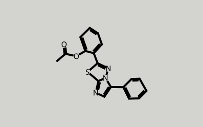 CC(=O)Oc1ccccc1-c1nn2c(-c3ccccc3)cnc2s1